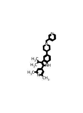 Cc1cc(-c2[nH]c3ccc(C4CCN(Cc5cccnc5)CC4)cc3c2C(C)C)cc(C)n1